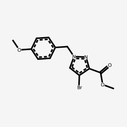 COC(=O)c1nn(Cc2ccc(OC)cc2)cc1Br